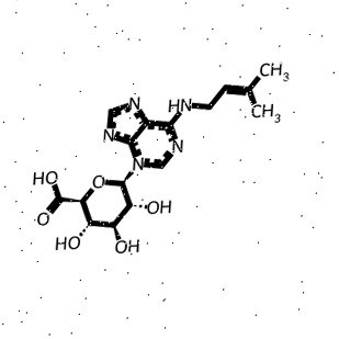 CC(C)=CCNc1ncn([C@@H]2O[C@H](C(=O)O)[C@@H](O)[C@H](O)[C@H]2O)c2ncnc1-2